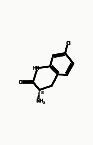 N[C@H]1Cc2ccc(Cl)cc2NC1=O